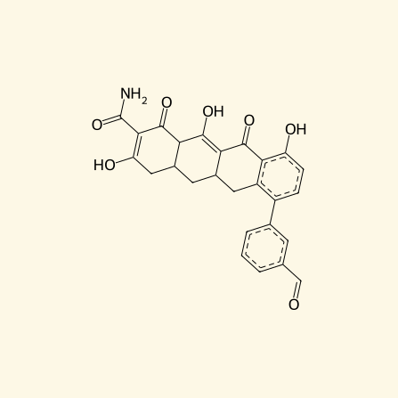 NC(=O)C1=C(O)CC2CC3Cc4c(-c5cccc(C=O)c5)ccc(O)c4C(=O)C3=C(O)C2C1=O